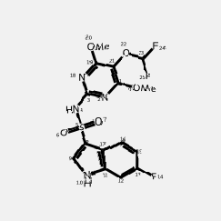 COc1nc(NS(=O)(=O)c2c[nH]c3cc(F)ccc23)nc(OC)c1OC(F)F